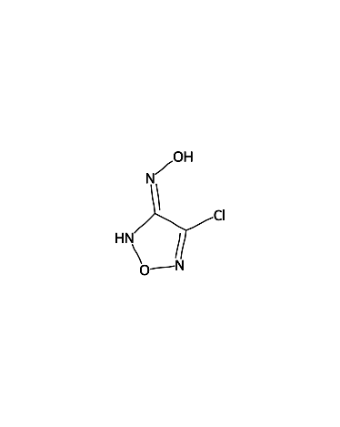 ON=c1[nH]onc1Cl